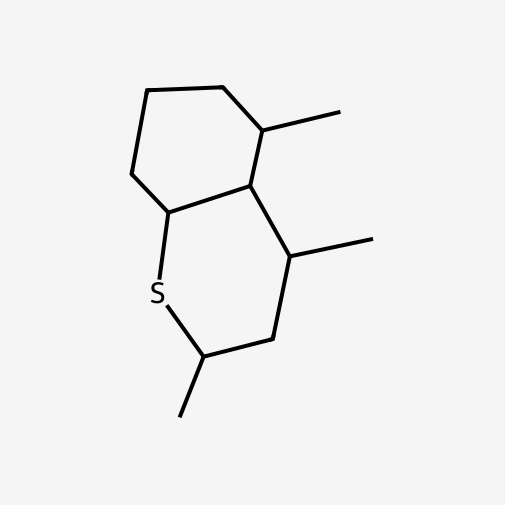 CC1CC(C)C2C(C)CCCC2S1